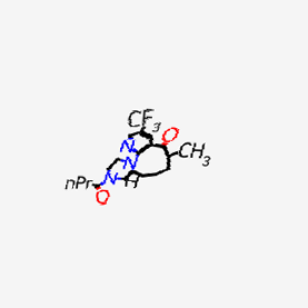 CCCC(=O)N1CCN2c3ncc(C(F)(F)F)cc3C(=O)C(C)CCC[C@@H]2C1